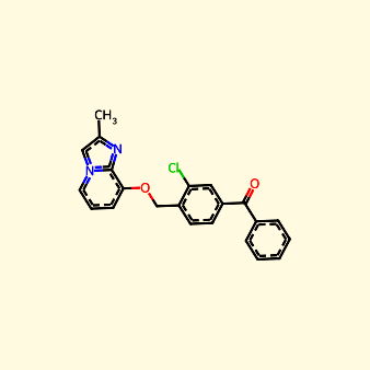 Cc1cn2cccc(OCc3ccc(C(=O)c4ccccc4)cc3Cl)c2n1